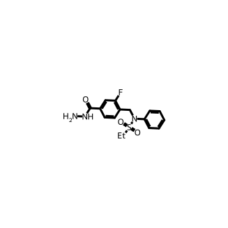 CCS(=O)(=O)N(Cc1ccc(C(=O)NN)cc1F)c1ccccc1